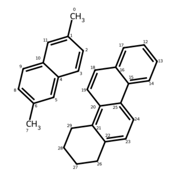 Cc1ccc2cc(C)ccc2c1.c1ccc2c(c1)ccc1c3c(ccc12)CCCC3